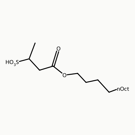 CCCCCCCCCCCCOC(=O)CC(C)S(=O)(=O)O